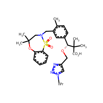 CCCn1cc(CO[C@H](c2ccc(C)c(CN3CC(C)(C)Oc4ccccc4S3(=O)=O)c2)C(C)(C)C(=O)O)nn1